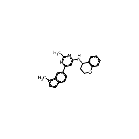 Cc1nc(N[C@@H]2CCOc3ccccc32)cc(-c2ccc3ccn(C)c3c2)n1